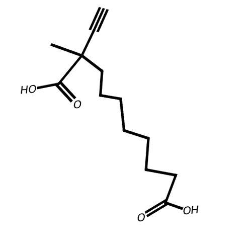 C#CC(C)(CCCCCCCC(=O)O)C(=O)O